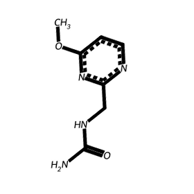 COc1ccnc(CNC(N)=O)n1